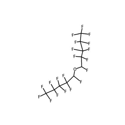 FC(OC(F)C(F)(F)C(F)(F)C(F)(F)C(F)(F)F)C(F)(F)C(F)(F)C(F)(F)C(F)(F)F